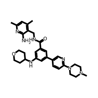 Cc1cc(C)c(CNC(=O)c2cc(NC3CCOCC3)cc(-c3ccc(N4CCN(C)CC4)nc3)c2)c(N)n1